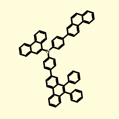 c1ccc(-c2c(-c3ccccc3)c3cc(-c4ccc(N(c5ccc(-c6ccc7c(ccc8ccccc87)c6)cc5)c5cc6ccccc6c6ccccc56)cc4)ccc3c3ccccc23)cc1